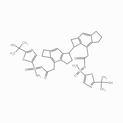 CC(C)(O)c1ncc(S(N)(=O)=NC(=O)Cc2c3c(cc4c2CCC4C2Cc4cc5c(c(CC(=O)N=S(N)(=O)c6cnc(C(C)(C)O)s6)c42)CCC5)CC3)s1